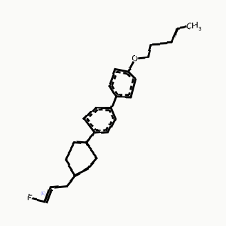 CCCCCOc1ccc(-c2ccc(C3CCC(C/C=C/F)CC3)cc2)cc1